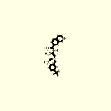 C=CN(/C=C(\C)NC(=C)C1C=CC2=C(CNCC2)C1)Cc1cccc(C(F)(F)F)c1